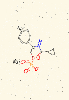 O=C(N[C@@H](COP(=O)([O-])[O-])c1ccccc1)C1CC1.[Na+].[Na+]